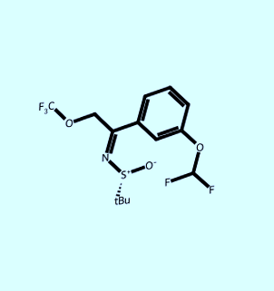 CC(C)(C)[S@@+]([O-])/N=C(/COC(F)(F)F)c1cccc(OC(F)F)c1